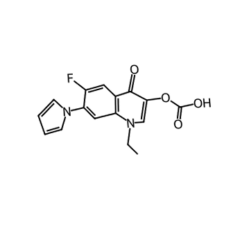 CCn1cc(OC(=O)O)c(=O)c2cc(F)c(-n3cccc3)cc21